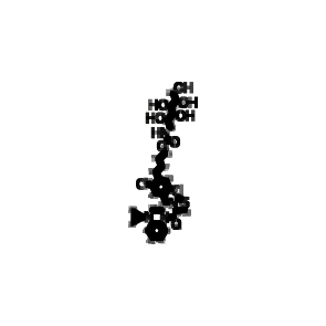 O=C(NC[C@H](O)[C@@H](O)[C@H](O)[C@H](O)CO)OCCCCc1cc(Cl)c(CN2CSC[C@H]2C(=O)N2CCN(C3CC3)c3ccccc32)cc1Cl